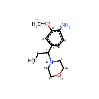 CCC(c1ccc(N)c(OC)c1)N1CCOCC1